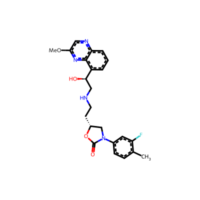 COc1cnc2cccc([C@H](O)CNCC[C@@H]3CN(c4ccc(C)c(F)c4)C(=O)O3)c2n1